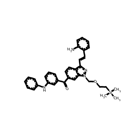 C[Si](C)(C)CCOCn1nc(C=Cc2ccccc2N)c2ccc(C(=O)c3cccc(Nc4ccccc4)c3)cc21